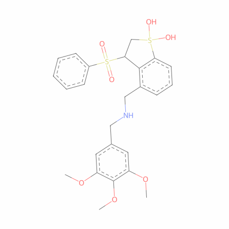 COc1cc(CNCc2cccc3c2C(S(=O)(=O)c2ccccc2)CS3(O)O)cc(OC)c1OC